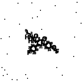 CCCNC(=O)Nc1cc(=O)n(-c2ccc(OCF)cc2)cc1-c1ccc(F)cc1